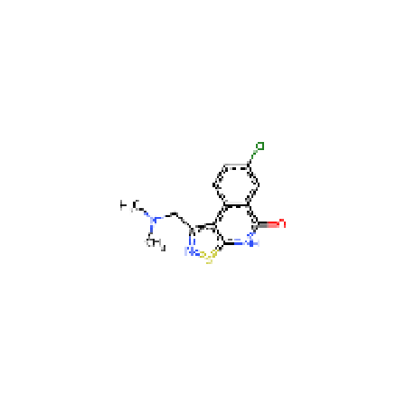 CN(C)Cc1nsc2[nH]c(=O)c3cc(Cl)ccc3c12